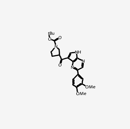 COc1ccc(-c2cnc3[nH]cc(C(=O)C4CCN(C(=O)OC(C)(C)C)C4)c3n2)cc1OC